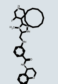 CN1C(CNc2cccc(C(=O)N[C@H]3CCOc4ccccc43)c2)NNC1C1C(F)CNCC12CCCCCCCCCC2